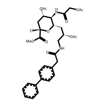 COC(=O)[C@]1(Cl)C[C@H](OC(C)=O)[C@@H](NC(=O)COC(C)=O)[C@H](C[C@@H](CNC(=O)Cc2ccc(-c3ccccc3)cc2)OC(C)=O)O1